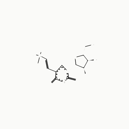 C[Si](C)(C)/C=C/c1cn([C@@H]2O[C@H](CO)[C@@H](O)[C@H]2F)c(=O)[nH]c1=O